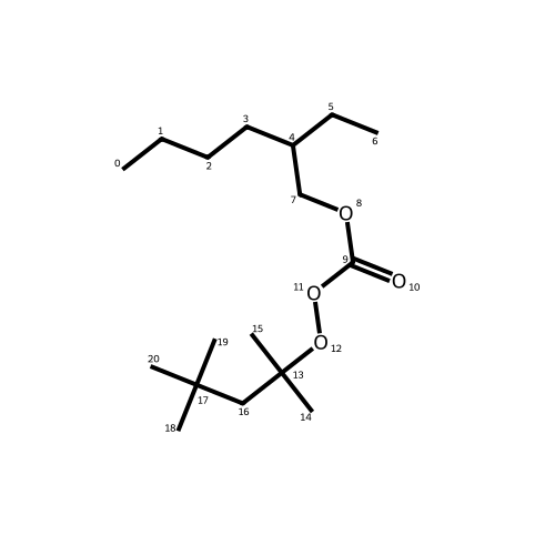 CCCCC(CC)COC(=O)OOC(C)(C)CC(C)(C)C